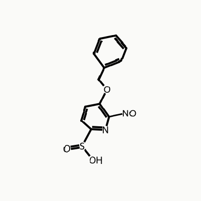 O=Nc1nc(S(=O)O)ccc1OCc1ccccc1